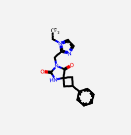 O=C1NC2(CC(c3ccccc3)C2)C(=O)N1Cc1nccn1CC(F)(F)F